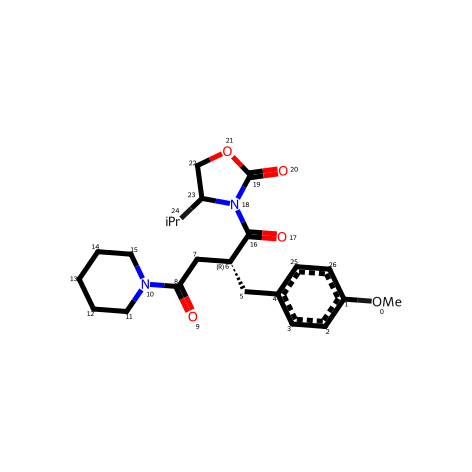 COc1ccc(C[C@H](CC(=O)N2CCCCC2)C(=O)N2C(=O)OCC2C(C)C)cc1